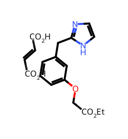 CCOC(=O)COc1cccc(Cc2ncc[nH]2)c1.O=C(O)C=CC(=O)O